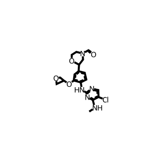 CNc1nc(Nc2ccc(C3CN(C=O)CCO3)cc2OC2COC2)ncc1Cl